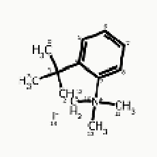 CC(C)(C)c1ccccc1[N+](C)(C)C.[I-]